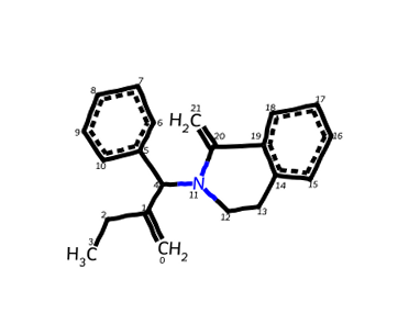 C=C(CC)C(c1ccccc1)N1CCc2ccccc2C1=C